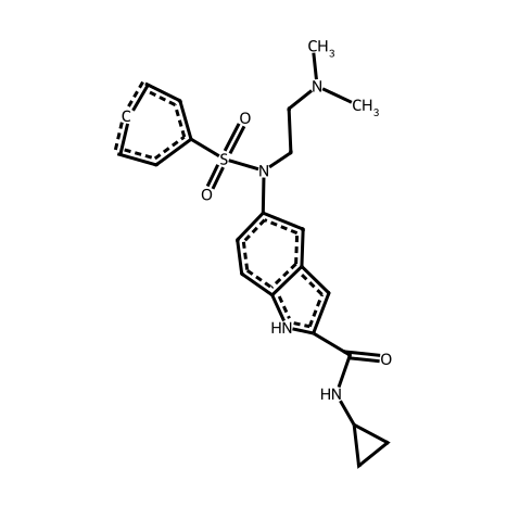 CN(C)CCN(c1ccc2[nH]c(C(=O)NC3CC3)cc2c1)S(=O)(=O)c1ccccc1